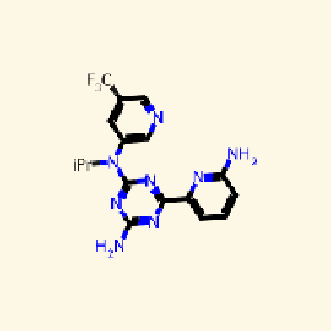 CC(C)N(c1cncc(C(F)(F)F)c1)c1nc(N)nc(-c2cccc(N)n2)n1